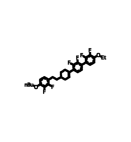 CCCCOc1ccc(CCC2CC=C(c3ccc(-c4ccc(OCC)c(F)c4F)c(F)c3F)CC2)c(F)c1F